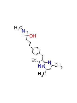 CCc1nn2c(C)cc(C)nc2c1Cc1ccc(/C=C/CC2(O)CN(C)C2)cc1